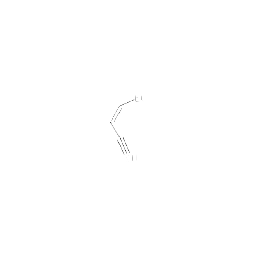 C#C/C=C\CC